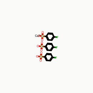 O=S(=O)([O-])c1ccc(F)cc1.O=S(=O)([O-])c1ccc(F)cc1.O=S(=O)([O-])c1ccc(F)cc1.[Ga+3]